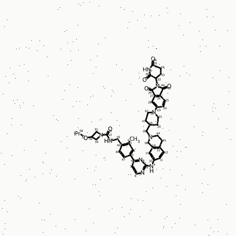 Cc1cc(-c2ccnc(Nc3ccc4c(c3)CN(CC3CCN(c5ccc6c(c5)C(=O)N(C5CCC(=O)NC5=O)C6=O)CC3)CC4)n2)ccc1CNC(=O)N1CC(OC(C)C)C1